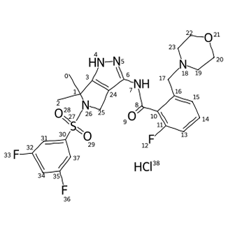 CC1(C)c2[nH]nc(NC(=O)c3c(F)cccc3CN3CCOCC3)c2CN1S(=O)(=O)c1cc(F)cc(F)c1.Cl